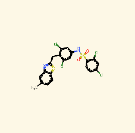 O=S(=O)(Nc1cc(Cl)c(Cc2nc3cc(C(F)(F)F)ccc3s2)c(Cl)c1)c1ccc(Cl)cc1Cl